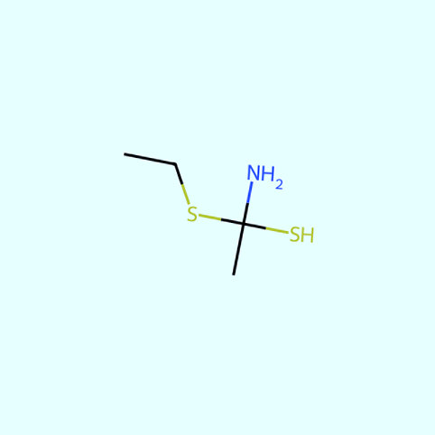 CCSC(C)(N)S